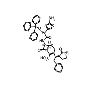 Nc1nc(C(=NOC(c2ccccc2)(c2ccccc2)c2ccccc2)C(=O)N[C@@H]2C(=O)N3C(C(=O)O)=C(C(Cc4ccccc4)=C4CCNC4=O)CS[C@H]23)cs1